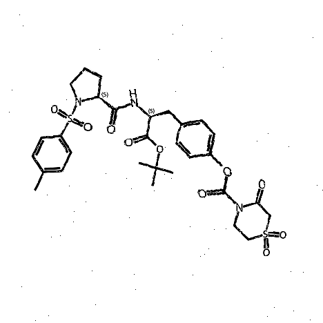 Cc1ccc(S(=O)(=O)N2CCC[C@H]2C(=O)N[C@@H](Cc2ccc(OC(=O)N3CCS(=O)(=O)CC3=O)cc2)C(=O)OC(C)(C)C)cc1